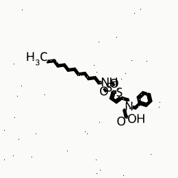 CCCCCCCCCCCCNS(=O)(=O)c1ccc(CN(CC(=O)O)Cc2ccccc2)s1